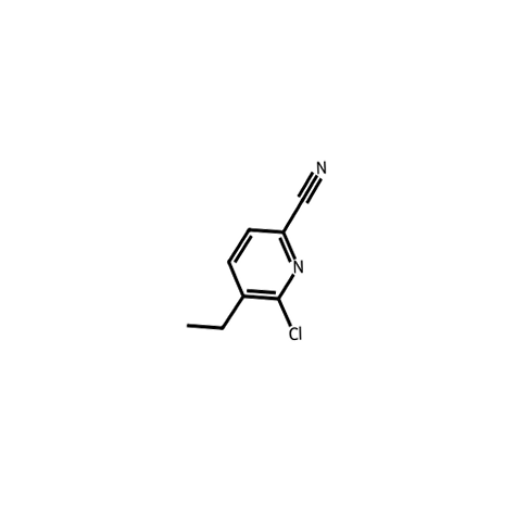 CCc1ccc(C#N)nc1Cl